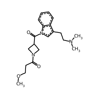 COCCC(=O)N1CC(C(=O)n2cc(CCN(C)C)c3ccccc32)C1